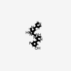 Oc1cc(F)cc(-c2cncc3[nH]c(-c4n[nH]c5cnc(-c6ccncc6)cc45)nc23)c1